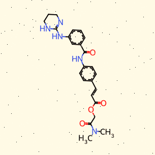 CN(C)C(=O)COC(=O)C=Cc1ccc(NC(=O)c2cccc(NC3=NCCCN3)c2)cc1